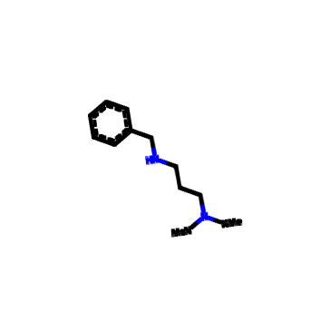 CNN(CCCNCc1ccccc1)NC